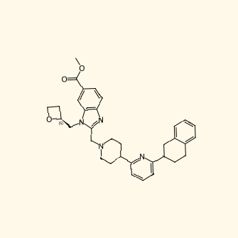 COC(=O)c1ccc2nc(CN3CCC(c4cccc(C5CCc6ccccc6C5)n4)CC3)n(C[C@@H]3CCO3)c2c1